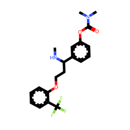 CNC(CCOc1ccccc1C(F)(F)F)c1cccc(OC(=O)N(C)C)c1